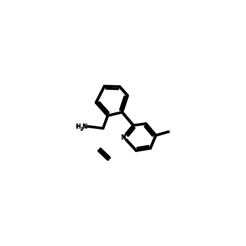 C=C.Cc1ccnc(-c2ccccc2CN)c1